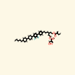 C=C(CC)C(=O)OCCC(CCCc1ccc(-c2ccc(C3CCC(C4CCC(CCCCC)CC4)CC3)c(F)c2F)cc1)CCOC(=O)C(=C)CO